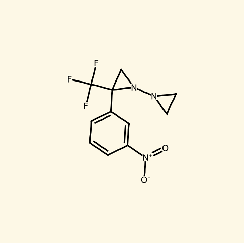 O=[N+]([O-])c1cccc(C2(C(F)(F)F)CN2N2CC2)c1